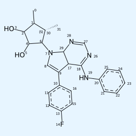 CC1C(O)C(O)C(N2C=C(c3ccc(F)cc3)C3C(Nc4ccccc4)=NC=NC32)[C@H]1C